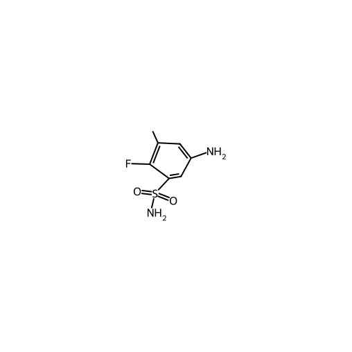 Cc1cc(N)cc(S(N)(=O)=O)c1F